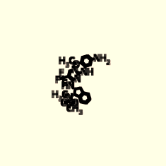 COc1ccc(N)cc1Nc1ncc(C(F)(F)F)c(N[C@@H]2Cc3ccccc3[C@H]2N(C)S(C)(=O)=O)n1